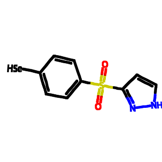 O=S(=O)(c1ccc([SeH])cc1)c1cc[nH]n1